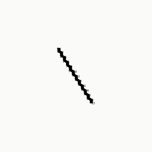 [CH]=C/C=C/C=C/C=C/C=C/C=C/C=C/C=C/C=C/C=C/C=C/C=C